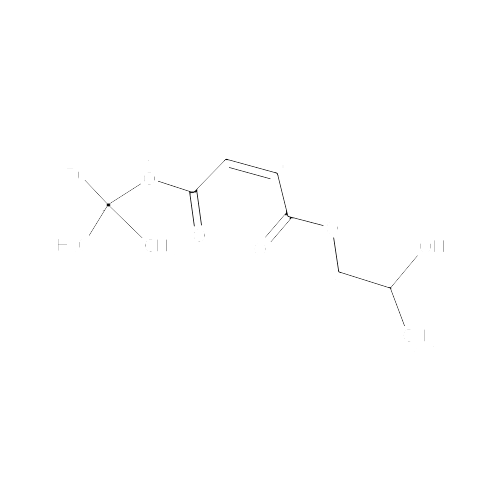 CCC(C)(C)OC(=O)/C=C\C(=O)OCC(C)O